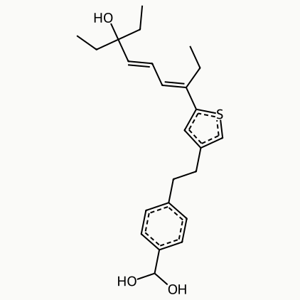 CCC(=CC=CC(O)(CC)CC)c1cc(CCc2ccc(C(O)O)cc2)cs1